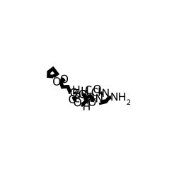 C[C@@]1(Cl)[C@@H]2OP(=O)(OCCCC(=O)OC3CCCC3)OC[C@H]2O[C@H]1n1ccc(N)nc1=O